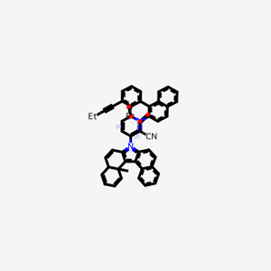 C=C/C(C#N)=C(\C=C/C(C)Nc1ccc2ccccc2c1-c1cccc(C#CCC)c1CC)n1c2c(c3c4ccccc4ccc31)C1(C)C=CC=CC1C=C2